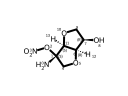 N[C@]1(O[N+](=O)[O-])CO[C@@H]2[C@H](O)CO[C@@H]21